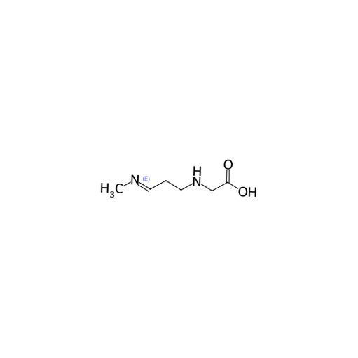 C/N=C/CCNCC(=O)O